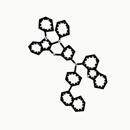 c1ccc(N2c3ccc(N(c4ccc(-c5cccc6ccccc56)cc4)c4cccc5c4sc4ccccc45)cc3Sc3c2n(-c2ccccc2)c2ccccc32)cc1